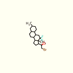 CC1CCC2C(CCC3C2CC(F)(F)C2(C)C(C(=O)CBr)CCC32)C1